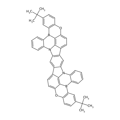 CC(C)(C)c1ccc2c(c1)B1c3ccccc3-n3c4cc5c6ccc7c8c6n(c5cc4c4ccc(c1c43)O2)-c1ccccc1B8c1cc(C(C)(C)C)ccc1O7